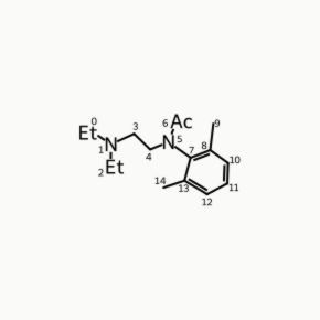 CCN(CC)CCN(C(C)=O)c1c(C)cccc1C